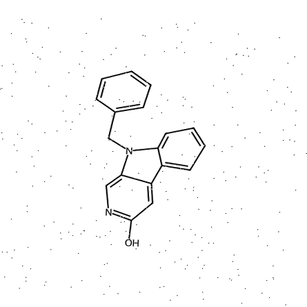 Oc1cc2c3ccccc3n(Cc3ccccc3)c2cn1